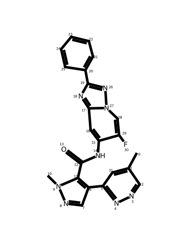 Cc1cnnc(-c2cnn(C)c2C(=O)Nc2cc3nc(-c4ccccc4)nn3cc2F)c1